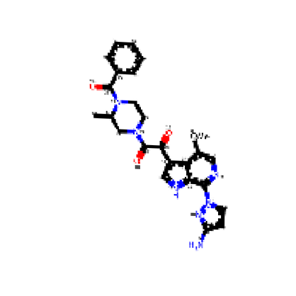 COc1cnc(-n2ccc(N)n2)c2[nH]cc(C(=O)C(=O)N3CCN(C(=O)c4ccccc4)C(C)C3)c12